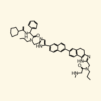 C=C(NC(C(=O)N(CCC)Cc1ncc(-c2ccc3cc(-c4ccc5c(c4)CCc4nc(CN(CCC)C(=O)CNC)[nH]c4-5)ccc3c2)[nH]1)c1ccccc1)C1CCCCC1